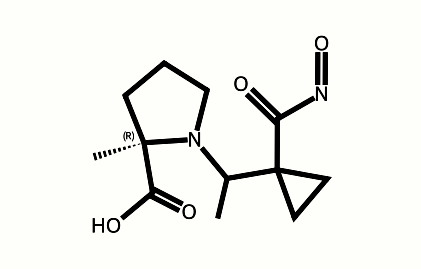 CC(N1CCC[C@]1(C)C(=O)O)C1(C(=O)N=O)CC1